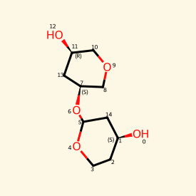 O[C@H]1CCOC(O[C@@H]2COC[C@H](O)C2)C1